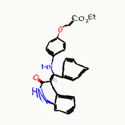 CCOC(=O)COc1ccc(N/C(=C2\C(=O)Nc3ccccc32)c2ccccc2)cc1